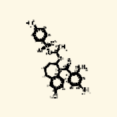 Cc1ccc(S(=O)(=O)OC(C)OC2CCCc3cc(Cl)ccc3N2C(=O)c2ccc(N)cc2C)cc1